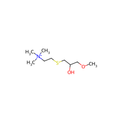 COCC(O)CSCC[N+](C)(C)C